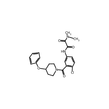 CN(C)C(=O)C(=O)Nc1ccc(Cl)c(C(=O)N2CCC(Oc3ccccc3)CC2)c1